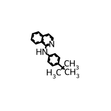 CC(C)(C)c1ccc(Nc2nccc3ccccc23)cc1